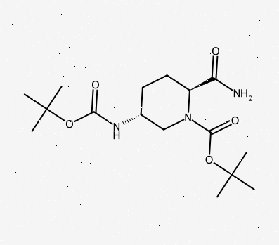 CC(C)(C)OC(=O)N[C@@H]1CC[C@@H](C(N)=O)N(C(=O)OC(C)(C)C)C1